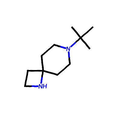 CC(C)(C)N1CCC2(CCN2)CC1